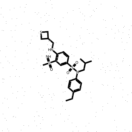 CCc1ccc(N(CC(C)C)S(=O)(=O)c2ccc(NCC3CSC3)c(S(C)(=N)=O)c2)cc1